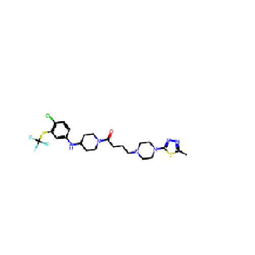 Cc1nnc(N2CCN(CCCC(=O)N3CCC(Nc4ccc(Cl)c(SC(F)(F)F)c4)CC3)CC2)s1